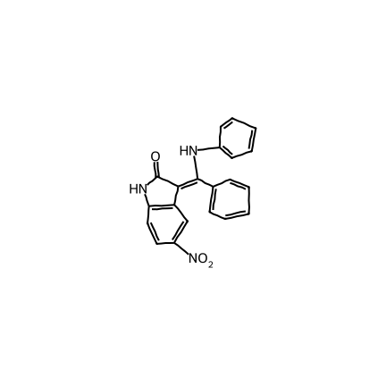 O=C1Nc2ccc([N+](=O)[O-])cc2C1=C(Nc1ccccc1)c1ccccc1